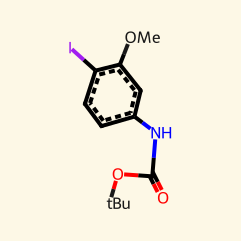 COc1cc(NC(=O)OC(C)(C)C)ccc1I